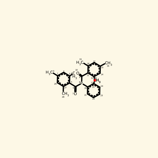 Cc1cc(C)c(C(=O)P(C(=O)c2c(C)cc(C)cc2C)c2ccccc2C)c(C)c1